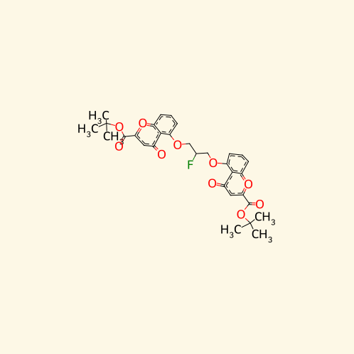 CC(C)(C)OC(=O)c1cc(=O)c2c(OCC(F)COc3cccc4oc(C(=O)OC(C)(C)C)cc(=O)c34)cccc2o1